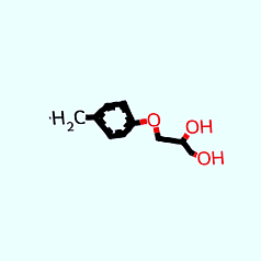 [CH2]c1ccc(OCC(O)CO)cc1